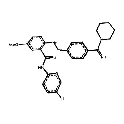 COc1ccc(NCc2ccc(C(=N)N3CCCCC3)cc2)c(C(=O)Nc2ccc(Cl)cn2)c1